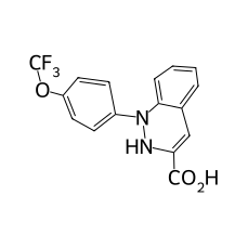 O=C(O)C1=Cc2ccccc2N(c2ccc(OC(F)(F)F)cc2)N1